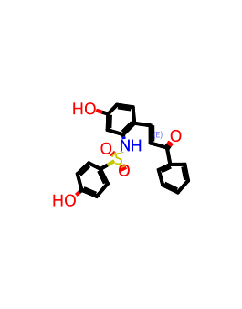 O=C(/C=C/c1ccc(O)cc1NS(=O)(=O)c1ccc(O)cc1)c1ccccc1